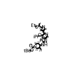 CCOC(C)n1cc(-c2ncc3nc(NC4CCN(C(=O)OC(C)(C)C)CC4C)nn3c2OC(C)C)cn1